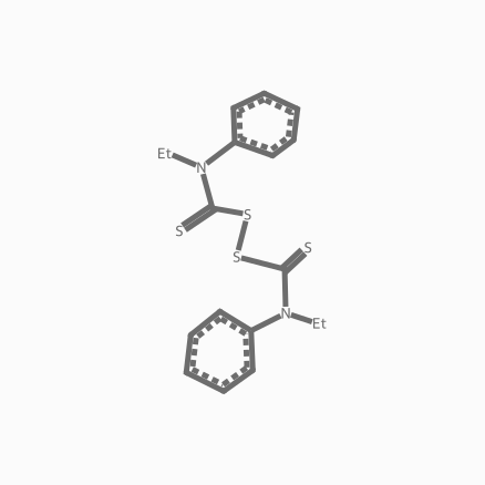 CCN(C(=S)SSC(=S)N(CC)c1ccccc1)c1ccccc1